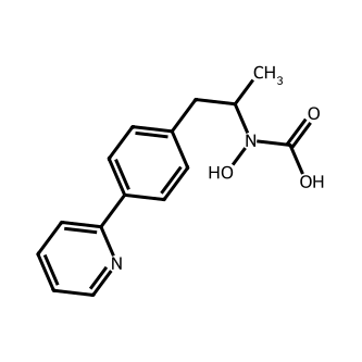 CC(Cc1ccc(-c2ccccn2)cc1)N(O)C(=O)O